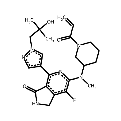 C=CC(=O)N1CCCC(N(C)c2nc(-c3cnn(CC(C)(C)O)c3)c3c(c2F)CNC3=O)C1